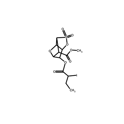 CCC(I)C(=O)OC1C2OS(=O)(=O)C3C2OC1C3C(=O)OC